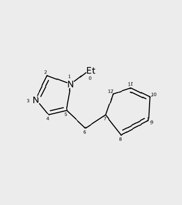 CCn1cncc1CC1C=CC=CC1